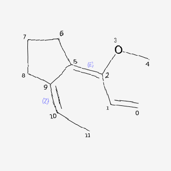 C=C/C(OC)=C1/CCC/C1=C/C